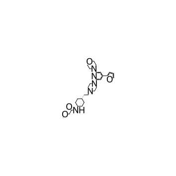 COCC(=O)N[C@H]1CC[C@H](CCN2CCN(c3cc(-c4ccco4)cc(N4CCOCC4)n3)CC2)CC1